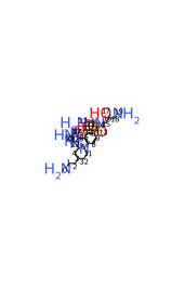 NCCC1CCN(c2ccc(S(=O)(=O)NC[C@H](O)CN)c(S(N)(=O)=O)c2-c2nn[nH]n2)CC1